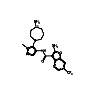 Cn1ncc(NC(=O)c2c(N)oc3cc(C(F)(F)F)cnc23)c1N1CCC[C@H](N)CC1